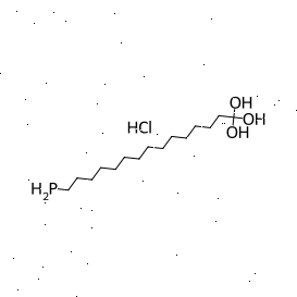 Cl.OC(O)(O)CCCCCCCCCCCCCCP